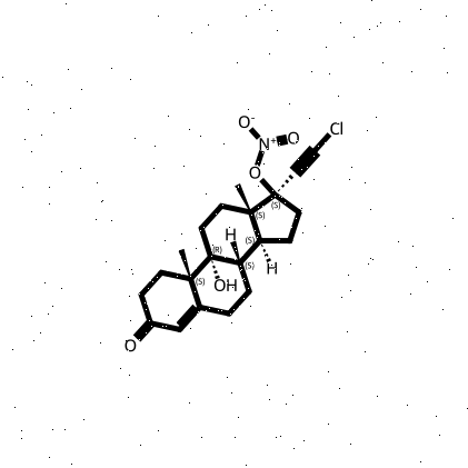 C[C@]12CCC(=O)C=C1CC[C@H]1[C@@H]3CC[C@](C#CCl)(O[N+](=O)[O-])[C@@]3(C)CC[C@@]12O